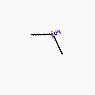 CCCCCCCCCCCCCCCCCC(=O)N(C(=O)CCCCCCCCCCCCCCCCC)C(CC)CN